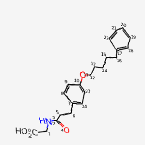 O=C(O)CNC(=O)CCc1ccc(OCCCCCc2ccccc2)cc1